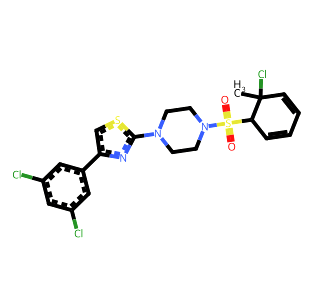 CC1(Cl)C=CC=CC1S(=O)(=O)N1CCN(c2nc(-c3cc(Cl)cc(Cl)c3)cs2)CC1